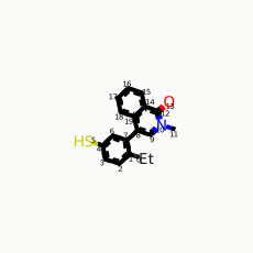 CCc1ccc(S)cc1-c1cn(C)c(=O)c2ccccc12